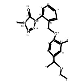 CCOC(C)c1ccc(OCc2ccccc2-n2nnn(C)c2=O)c(C)c1